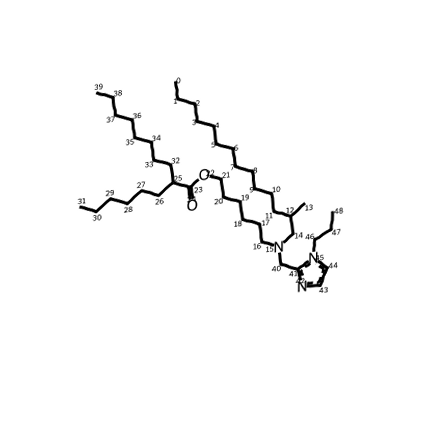 CCCCCCCCCCCCC(C)CN(CCCCCCOC(=O)C(CCCCCC)CCCCCCCC)Cc1nccn1CCC